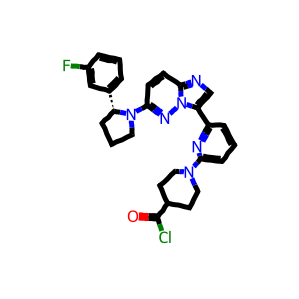 O=C(Cl)C1CCN(c2cccc(-c3cnc4ccc(N5CCC[C@@H]5c5cccc(F)c5)nn34)n2)CC1